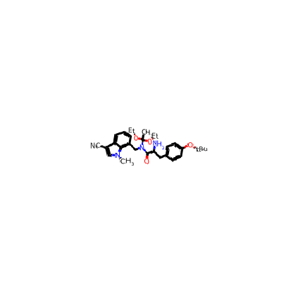 CCOC(C)(OCC)N(Cc1cccc2c(C#N)cn(C)c12)C(=O)C(N)Cc1ccc(OC(C)(C)C)cc1